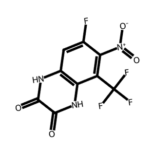 O=c1[nH]c2cc(F)c([N+](=O)[O-])c(C(F)(F)F)c2[nH]c1=O